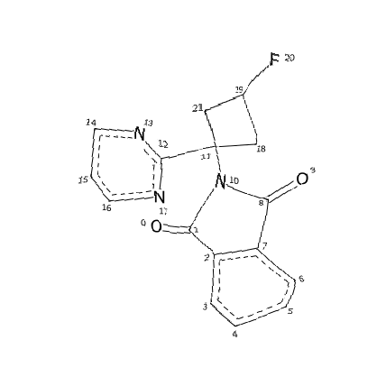 O=C1c2ccccc2C(=O)N1C1(c2ncccn2)CC(F)C1